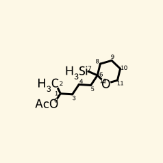 CC(=O)OC(C)CCCC1([SiH3])CCCCO1